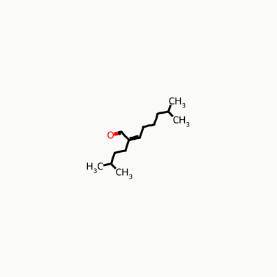 CC(C)CCC/C=C(\C=O)CCC(C)C